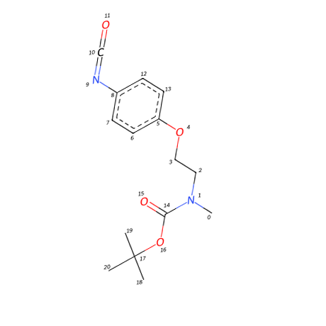 CN(CCOc1ccc(N=C=O)cc1)C(=O)OC(C)(C)C